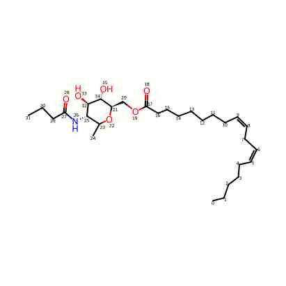 CCCCC/C=C\C/C=C\CCCCCCCC(=O)OC[C@H]1OC(C)[C@H](NC(=O)CCC)[C@@H](O)[C@@H]1O